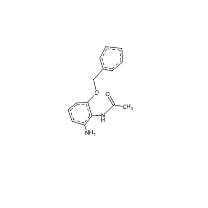 CC(=O)Nc1c(N)cccc1OCc1ccccc1